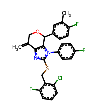 C=C1COC(c2ccc(F)c(C)c2)c2c1nc(SCc1c(F)cccc1Cl)n2-c1ccc(F)cc1